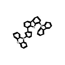 c1cc(B2c3ccccc3Oc3ccccc32)cc(-c2cccc3c2sc2c(-n4c5ccccc5c5ccccc54)cccc23)c1